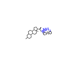 C=C(CN(N)C=O)C1CCC2C3CCC4CC(C)CCC4C3CCC12C